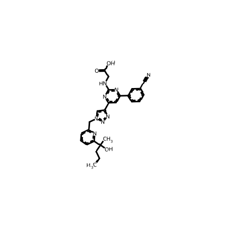 CCCC(C)(O)c1cccc(Cn2cc(-c3cc(-c4cccc(C#N)c4)nc(NCC(=O)O)n3)nn2)n1